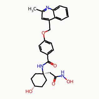 Cc1cc(COc2ccc(C(=O)N[C@]3(CC(=O)NO)CC[C@@H](O)CC3)cc2)c2ccccc2n1